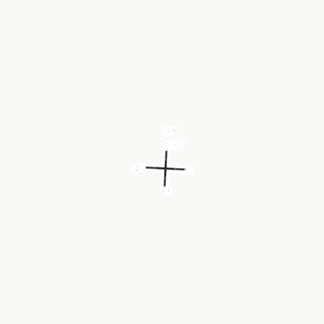 CCCC(CC)(CC)C(=O)[O-].[Na+]